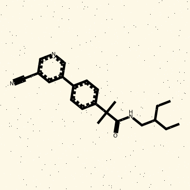 CCC(CC)CNC(=O)C(C)(C)c1ccc(-c2cncc(C#N)c2)cc1